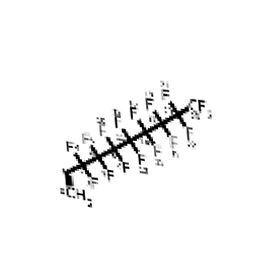 C=CC(F)(F)C(F)(F)C(F)(F)C(F)(F)C(F)(F)C(F)(F)C(F)(F)C(F)(F)F